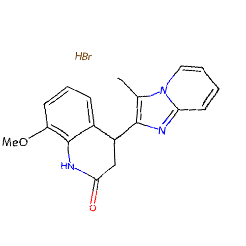 Br.COc1cccc2c1NC(=O)CC2c1nc2ccccn2c1C